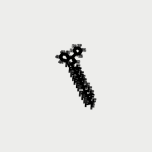 FC(F)(F)C(F)(F)C(F)(F)C(F)(F)C(F)(F)C(F)(F)C(F)(F)C(F)(F)C(F)(F)C(F)(F)c1cc(-c2ccccc2)c2ccccc2n1